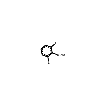 C[CH]CCCc1c(Cl)cccc1C(C)=O